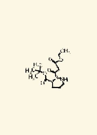 CCOC(=O)CC(=O)N1NCCCC1C(=O)OC(C)(C)C